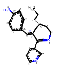 CCC[C@@H]1CCN=C(c2cccnc2)/C1=C/c1ccc(N)cc1